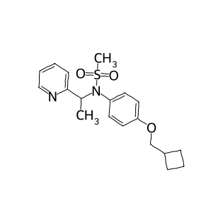 CC(c1ccccn1)N(c1ccc(OCC2CCC2)cc1)S(C)(=O)=O